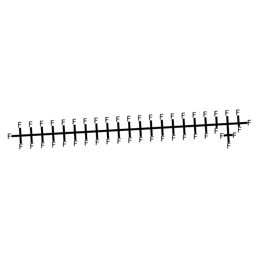 FC(F)(F)C(F)(F)C(F)(F)C(F)(F)C(F)(F)C(F)(F)C(F)(F)C(F)(F)C(F)(F)C(F)(F)C(F)(F)C(F)(F)C(F)(F)C(F)(F)C(F)(F)C(F)(F)C(F)(F)C(F)(F)C(F)(F)C(F)(C(F)(F)F)C(F)(F)F